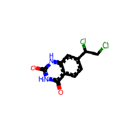 O=c1[nH]c(=O)c2ccc(C(Cl)CCl)cc2[nH]1